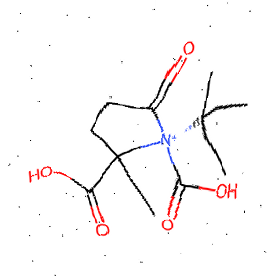 CC(C)(C)[N@@+]1(C(=O)O)C(=O)CCC1(C)C(=O)O